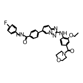 CCOc1cc(C(=O)N2CCOCC2)ccc1Nc1nc2ccc(-c3ccc(C(=O)NCc4ccc(F)cc4)cc3)cn2n1